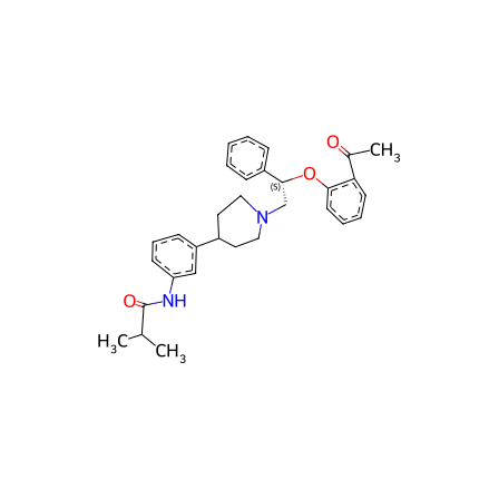 CC(=O)c1ccccc1O[C@H](CN1CCC(c2cccc(NC(=O)C(C)C)c2)CC1)c1ccccc1